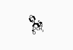 Cc1ncsc1C(COC=O)N1CCOCC1